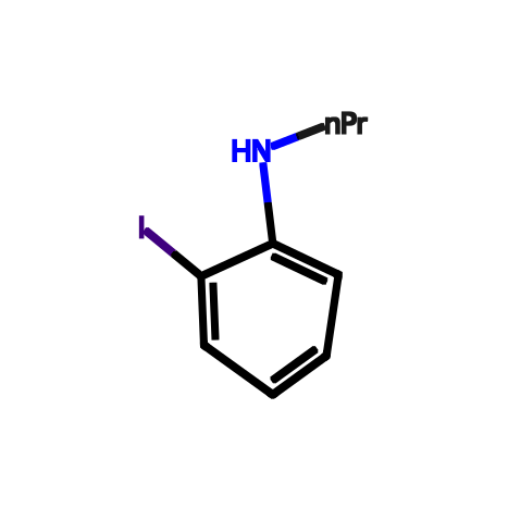 CCCNc1ccccc1I